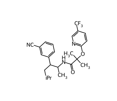 CC(C)CC(c1cccc(C#N)c1)C(C)NC(=O)C(C)(C)Oc1ccc(C(F)(F)F)cn1